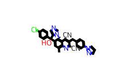 Cc1cc(C(O)(c2ccc(Cl)cc2)c2cncn2C)cc2c(C#N)c(Cc3ccc(-n4cccn4)cc3)c(C#N)nc12